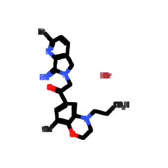 Br.CCc1ccc2c(n1)C(=N)N(CC(=O)c1cc3c(c(C(C)(C)C)c1)OCCN3CCC(=O)O)C2